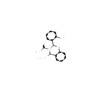 CCC(=O)N1C(C=O)c2ccccc2SC1c1ccccc1Cl